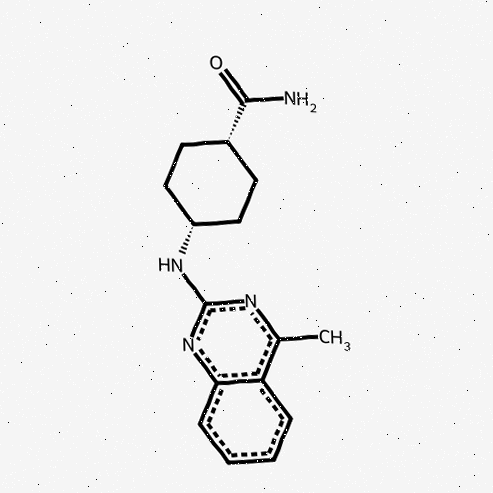 Cc1nc(N[C@H]2CC[C@@H](C(N)=O)CC2)nc2ccccc12